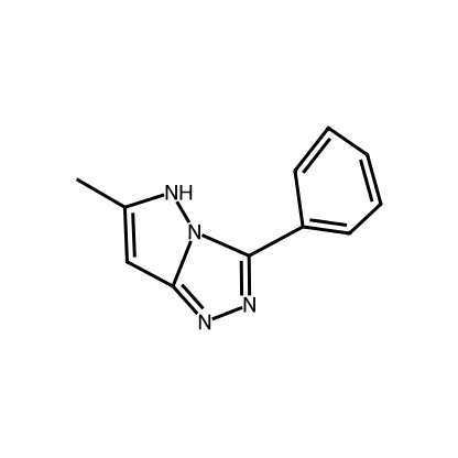 Cc1cc2nnc(-c3ccccc3)n2[nH]1